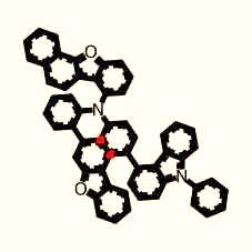 c1ccc(-n2c3ccccc3c3c(-c4ccc(N(c5ccccc5-c5ccc6c(c5)oc5ccccc56)c5cccc6oc7c8ccccc8ccc7c56)cc4)cccc32)cc1